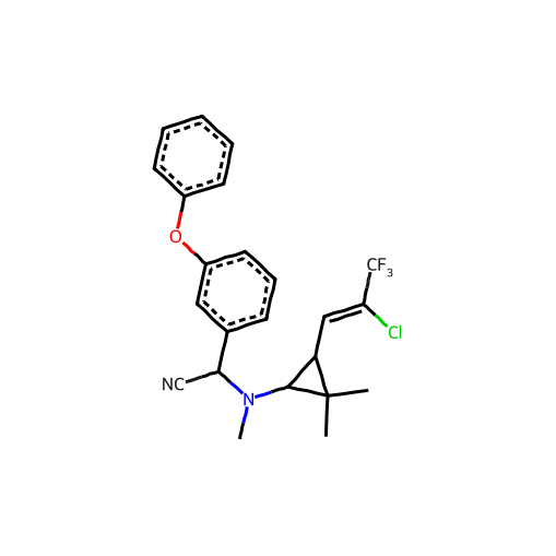 CN(C(C#N)c1cccc(Oc2ccccc2)c1)C1C(/C=C(\Cl)C(F)(F)F)C1(C)C